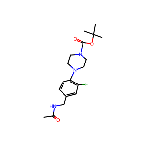 CC(=O)NCc1ccc(N2CCN(C(=O)OC(C)(C)C)CC2)c(F)c1